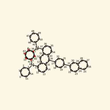 c1ccc(N(c2ccccc2)c2cccc3c(-c4ccc(-c5ccc6ccccc6c5)cc4)c4cccc(N(c5ccccc5)c5ccccc5)c4cc23)cc1